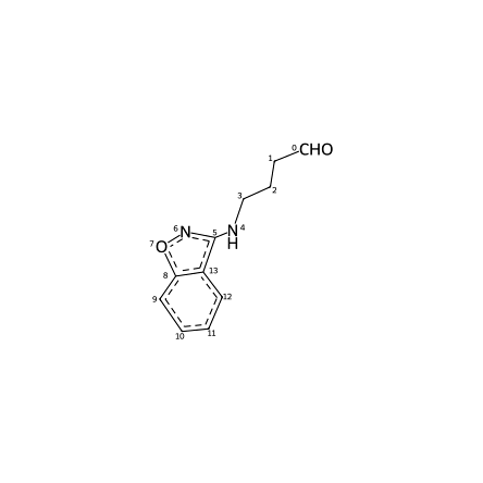 O=CCCCNc1noc2ccccc12